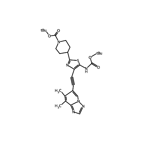 Cc1c(C#Cc2nc(C3CCN(C(=O)OC(C)(C)C)CC3)sc2NC(=O)OC(C)(C)C)cn2ncnc2c1C